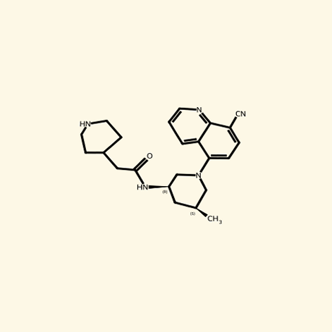 C[C@H]1C[C@@H](NC(=O)CC2CCNCC2)CN(c2ccc(C#N)c3ncccc23)C1